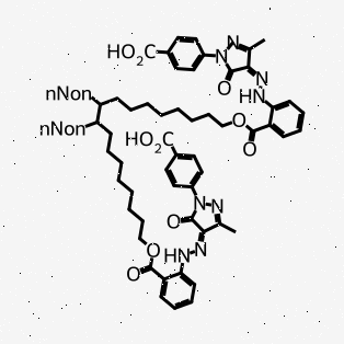 CCCCCCCCCC(CCCCCCCCOC(=O)c1ccccc1N/N=C1\C(=O)N(c2ccc(C(=O)O)cc2)N=C1C)C(CCCCCCCCC)CCCCCCCCOC(=O)c1ccccc1N/N=C1\C(=O)N(c2ccc(C(=O)O)cc2)N=C1C